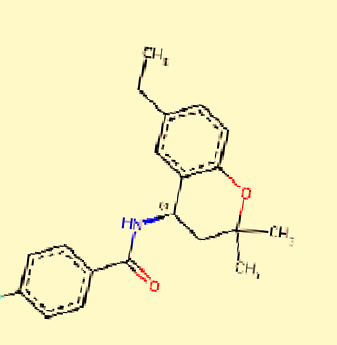 CCc1ccc2c(c1)[C@H](NC(=O)c1ccc(F)cc1)CC(C)(C)O2